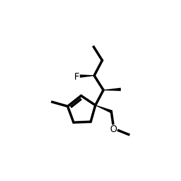 CC[C@H](F)[C@@H](C)[C@@]1(COC)C=C(C)CC1